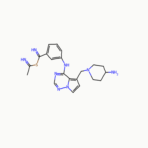 CC(=N)SC(=N)c1cccc(Nc2ncnn3ccc(CN4CCC(N)CC4)c23)c1